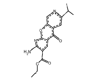 CCOC(=O)c1cc2c(=O)c3cc(C(C)C)ncc3oc2nc1N